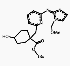 COCn1ccsc1=Nc1cccc(CC2(C(=O)OC(C)(C)C)CCC(O)CC2)n1